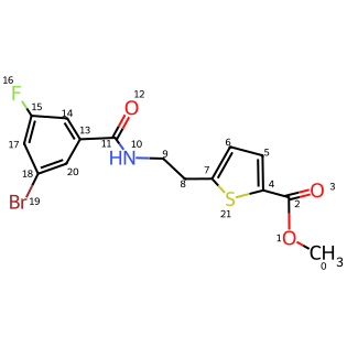 COC(=O)c1ccc(CCNC(=O)c2cc(F)cc(Br)c2)s1